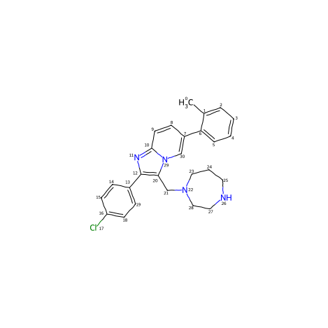 Cc1ccccc1-c1ccc2nc(-c3ccc(Cl)cc3)c(CN3CCCNCC3)n2c1